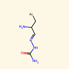 CC(=O)CC(N)/C=N/NC(N)=O